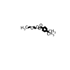 CCCOC[CH]OOC(=O)c1ccc(C(C)C)cc1